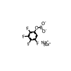 [Na+].[Na+].[O-]B([O-])Oc1cc(F)c(F)c(F)c1F